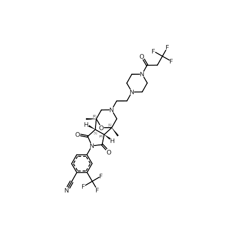 C[C@]12CN(CCN3CCN(C(=O)CC(F)(F)F)CC3)C[C@](C)(O1)[C@H]1C(=O)N(c3ccc(C#N)c(C(F)(F)F)c3)C(=O)[C@H]12